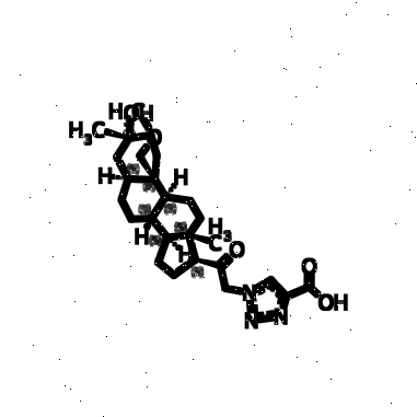 COC[C@]12CC[C@@](C)(O)C[C@@H]1CC[C@H]1[C@@H]3CC[C@H](C(=O)Cn4cc(C(=O)O)nn4)[C@@]3(C)CC[C@@H]12